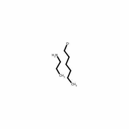 CCCCCC[O].CCCN